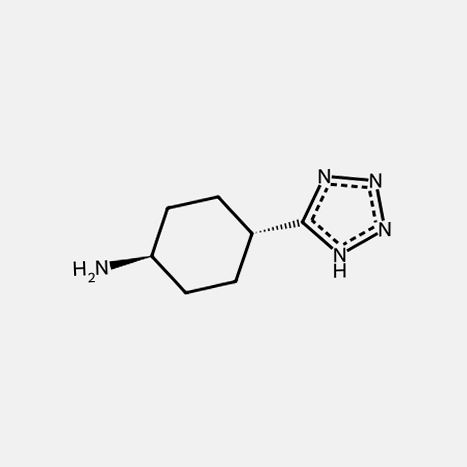 N[C@H]1CC[C@H](c2nnn[nH]2)CC1